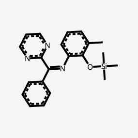 Cc1cccc(N=C(c2ccccc2)c2ncccn2)c1O[Si](C)(C)C